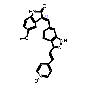 COc1ccc2c(c1)/C(=C\c1ccc3c(C=Cc4cc[n+]([O-])cc4)n[nH]c3c1)C(=O)N2